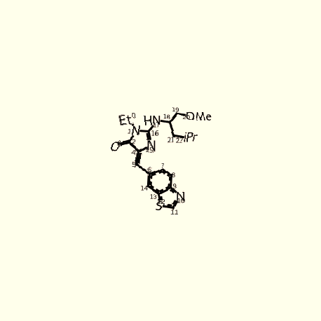 CCN1C(=O)/C(=C/c2ccc3ncsc3c2)N=C1NC(COC)CC(C)C